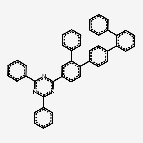 c1ccc(-c2nc(-c3ccccc3)nc(-c3ccc(-c4ccc(-c5ccccc5-c5ccccc5)cc4)c(-c4ccccc4)c3)n2)cc1